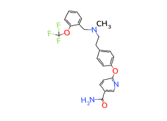 CN(CCc1ccc(Oc2ccc(C(N)=O)cn2)cc1)Cc1ccccc1OC(F)(F)F